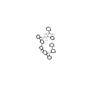 N=C(NC(NCn1c2ccccc2c2cc(-c3ccc4sc5cc6c7ccccc7n(-c7cccc(-c8ccccc8)c7)c6cc5c4c3)ccc21)c1ccccc1)c1ccccc1